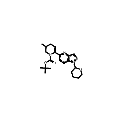 CC1CC=C(c2ccc3c(cnn3C3CCCCO3)n2)N(C(=O)OC(C)(C)C)C1